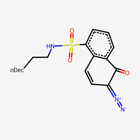 CCCCCCCCCCCCNS(=O)(=O)c1cccc2c1C=CC(=[N+]=[N-])C2=O